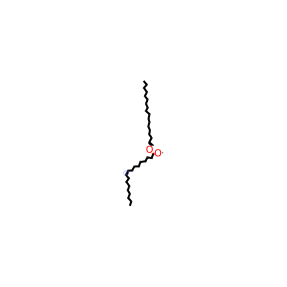 CCCCCCCC/C=C\CCCCCCCC([O])OC=CCCCCCCCCCCCCCCCC